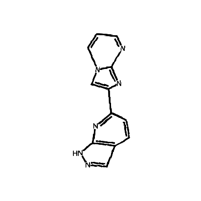 c1cnc2nc(-c3ccc4cn[nH]c4n3)cn2c1